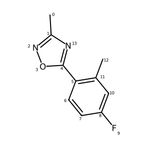 Cc1noc(-c2ccc(F)cc2C)n1